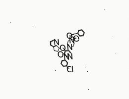 O=c1c(OC2CCc3cccnc32)c(N2CCN(S(=O)(=O)Cc3ccccc3)CC2)cnn1-c1cccc(Cl)c1